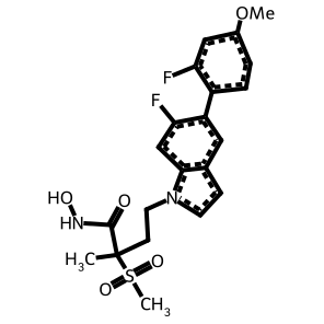 COc1ccc(-c2cc3ccn(CCC(C)(C(=O)NO)S(C)(=O)=O)c3cc2F)c(F)c1